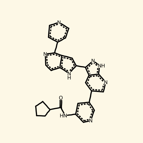 O=C(Nc1cncc(-c2cnc3[nH]nc(-c4cc5c(-c6ccncc6)nccc5[nH]4)c3c2)c1)C1CCCC1